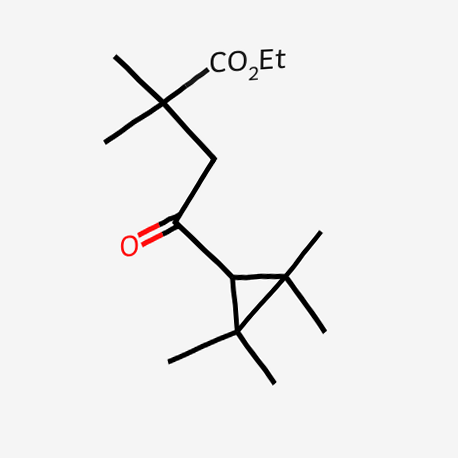 CCOC(=O)C(C)(C)CC(=O)C1C(C)(C)C1(C)C